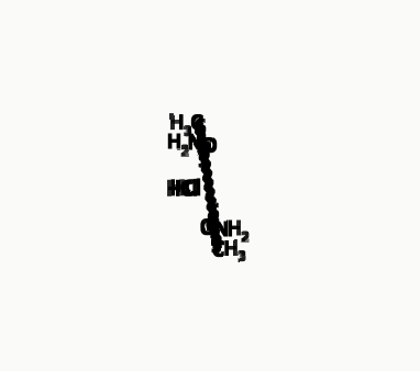 CSCCC(N)C(=O)CCSCCCCCCCCCCSCCC(=O)C(N)CCSC.Cl.Cl